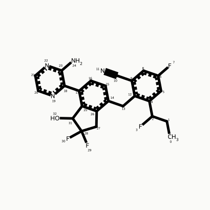 CCC(F)c1cc(F)cc(C#N)c1Cc1ccc(-c2nccnc2N)c2c1CC(F)(F)C2O